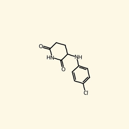 O=C1CCC(Nc2ccc(Cl)cc2)C(=O)N1